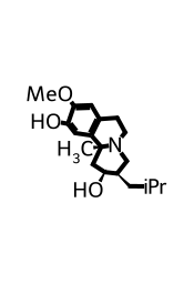 COc1cc2c(cc1O)[C@@]1(C)C[C@H](O)[C@H](CC(C)C)CN1CC2